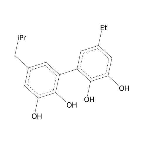 CCc1cc(O)c(O)c(-c2cc(CC(C)C)cc(O)c2O)c1